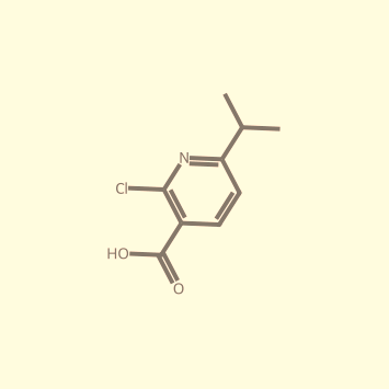 CC(C)c1ccc(C(=O)O)c(Cl)n1